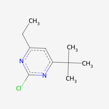 CCc1cc(C(C)(C)C)nc(Cl)n1